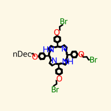 CCCCCCCCCCCOc1ccc(-c2c3nc(c(-c4ccc(OCCCBr)cc4)c4ccc([nH]4)c(-c4ccc(OCCCBr)cc4)c4nc(c(-c5ccc(OCCCBr)cc5)c5ccc2[nH]5)C=C4)C=C3)cc1